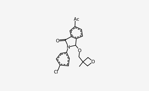 CC(=O)c1ccc2c(c1)C(=O)N(c1ccc(Cl)cc1)C2OCC1(C)COC1